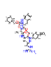 CC(C)[C@H](NC(=O)[C@H](Cc1ccccc1)NC(=O)OCc1ccccc1)C(=O)N[C@@H](CCCNC(=N)N)C(=O)Nc1ccc([N+](=O)[O-])cc1